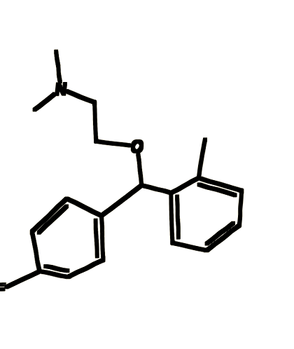 Cc1ccccc1C(OCCN(C)C)c1ccc(F)cc1